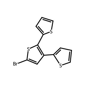 Brc1cc(-c2cccs2)c(-c2cccs2)s1